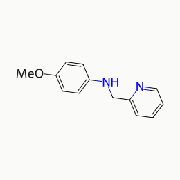 COc1ccc(NCc2ccccn2)cc1